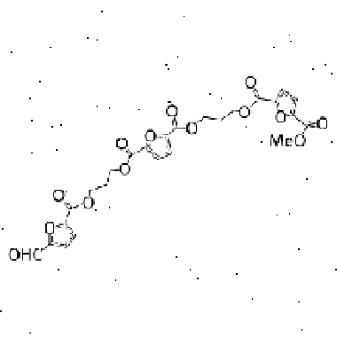 COC(=O)c1ccc(C(=O)OCCCOC(=O)c2ccc(C(=O)OCCCOC(=O)c3ccc(C=O)o3)o2)o1